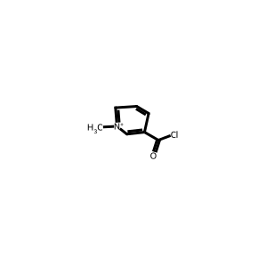 C[n+]1cccc(C(=O)Cl)c1